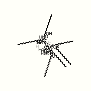 CCCCCCCCCCCCCCCC(=O)O[C@H](CCCCCCCCCCCCC)CC(=O)NC1C(OC(=O)C[C@@H](CCCCCCCCCCCCC)OC(=O)CCCCCCCCCCCCCCC)[C@H](OP(=O)(O)O)C(CO)O[C@H]1OCC1OCC(NC(=O)C[C@H](O)CCCCCCCCCCCCC)C(OC(=O)C[C@H](O)CCCCCCCCCCCCC)[C@@H]1O